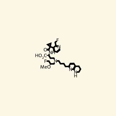 CO[C@H](CF)CN(CCCCc1ccc2c(n1)NCCC2)CC[C@H](NC(=O)C1(c2cccnc2CF)CC1)C(=O)O